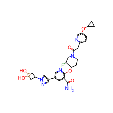 NC(=O)c1cc(-c2cnn(C3CS(O)(O)C3)c2)cnc1OC1CCN(C(=O)Cc2ccc(OC3CC3)cn2)CC1F